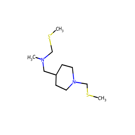 CSCN(C)CC1CCN(CSC)CC1